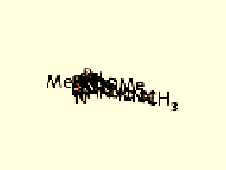 COc1nc(N2CCC(N3CCN(C)CC3)CC2)ccc1Nc1ncc(Br)c(Nc2ccc3nccnc3c2N(C)SC)n1